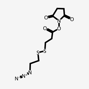 [N-]=[N+]=NCCSSCCC(=O)ON1C(=O)CCC1=O